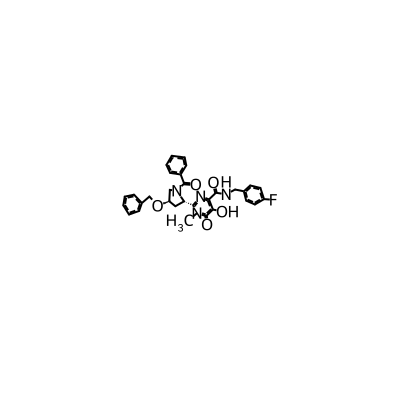 Cn1c([C@@H]2C[C@@H](OCc3ccccc3)CN2C(=O)c2ccccc2)nc(C(=O)NCc2ccc(F)cc2)c(O)c1=O